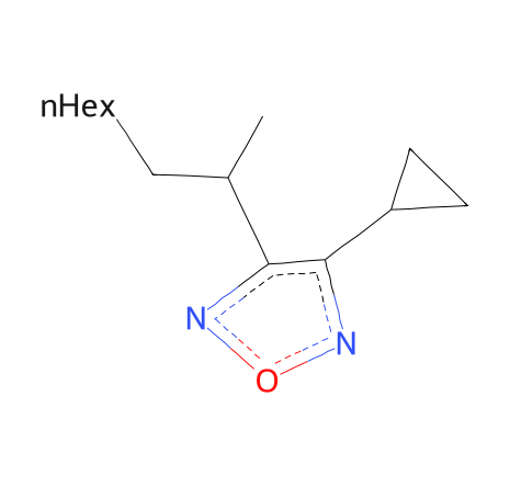 CCCCCCCC(C)c1nonc1C1CC1